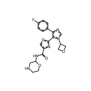 O=C(NC1CNCCO1)c1coc(-c2c(-c3ccc(F)cc3)ncn2C2COC2)n1